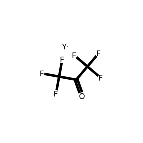 O=C(C(F)(F)F)C(F)(F)F.[Y]